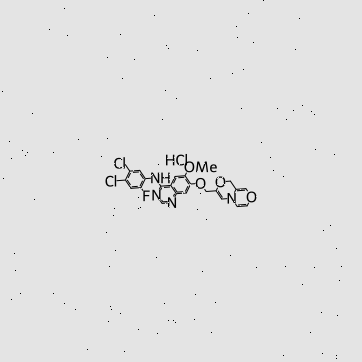 COc1cc2c(Nc3cc(Cl)c(Cl)cc3F)ncnc2cc1OCC1=CN2C=COC=C2CO1.Cl